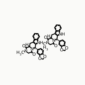 CN1CC(=O)N2[C@H](c3ccc4c(c3)OCO4)c3[nH]c4ccccc4c3C[C@@H]2C1=O.CN1CC(=O)N2[C@H](c3ccc4c(c3)OCO4)c3[nH]c4ccccc4c3C[C@@H]2C1=O